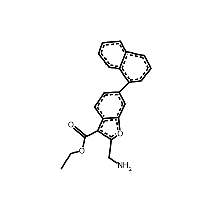 CCOC(=O)c1c(CN)oc2cc(-c3cccc4ccccc34)ccc12